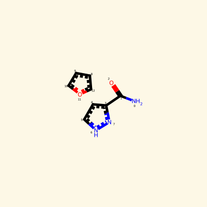 NC(=O)c1cc[nH]n1.c1ccoc1